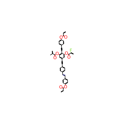 C=CC(=O)Oc1ccc(C#Cc2c(OC(=O)C(=C)C)cc(C#Cc3ccc(/C=C/c4ccc(OC(=O)C=C)cc4)cc3)cc2OC(=O)C(=C)F)cc1